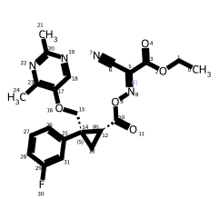 CCOC(=O)/C(C#N)=N/OC(=O)[C@@H]1C[C@@]1(COc1cnc(C)nc1C)c1cccc(F)c1